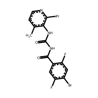 Cc1ccnc(C(C)C)c1NC(=O)NC(=O)c1cc(F)c(Br)cc1F